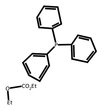 CCOC(=O)OCC.c1ccc(P(c2ccccc2)c2ccccc2)cc1